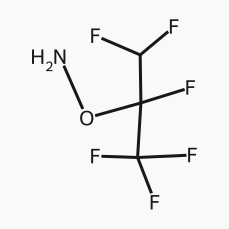 NOC(F)(C(F)F)C(F)(F)F